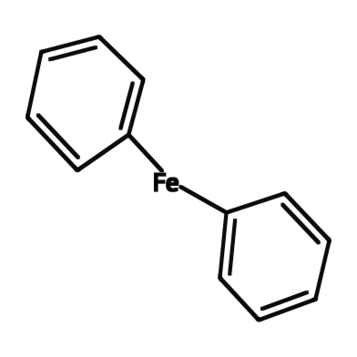 c1cc[c]([Fe][c]2ccccc2)cc1